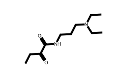 CCC(=O)C(=O)NCCCN(CC)CC